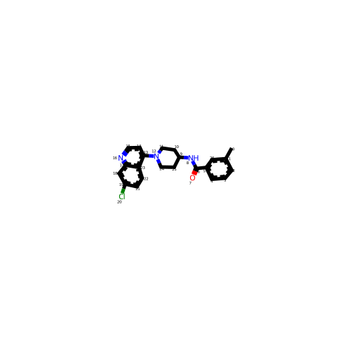 Cc1cccc(C(=O)NC2CCN(c3ccnc4cc(Cl)ccc34)CC2)c1